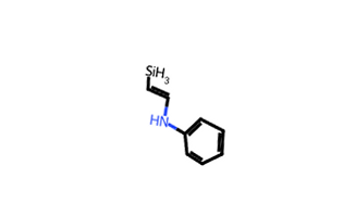 [SiH3]C=CNc1ccccc1